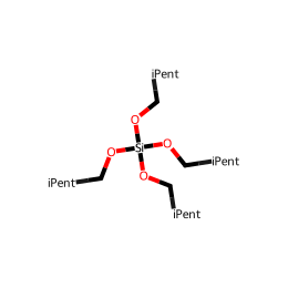 CCCC(C)CO[Si](OCC(C)CCC)(OCC(C)CCC)OCC(C)CCC